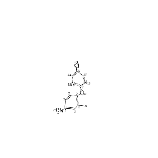 Cc1cc(N)ccc1Oc1ncc(Cl)cn1